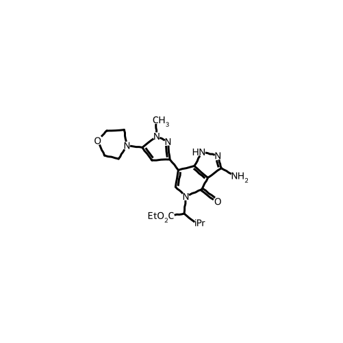 CCOC(=O)C(C(C)C)n1cc(-c2cc(N3CCOCC3)n(C)n2)c2[nH]nc(N)c2c1=O